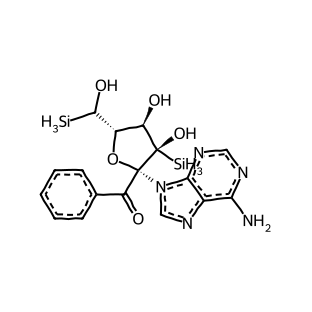 Nc1ncnc2c1ncn2[C@]1(C(=O)c2ccccc2)O[C@H](C(O)[SiH3])[C@@H](O)[C@]1(O)[SiH3]